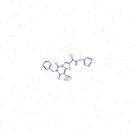 Cc1c(=O)n(Cc2ccccc2)c(=O)n2cc(C(=O)NCc3cccnc3)sc12.Cl